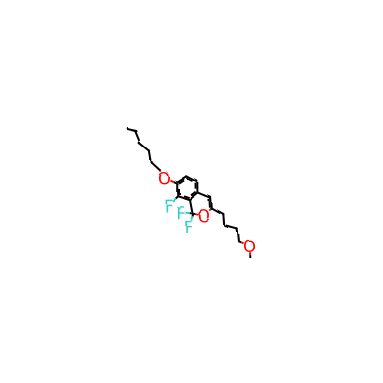 CCCCCCOc1ccc2c(c1F)C(F)(F)OC(CCCCOC)=C2